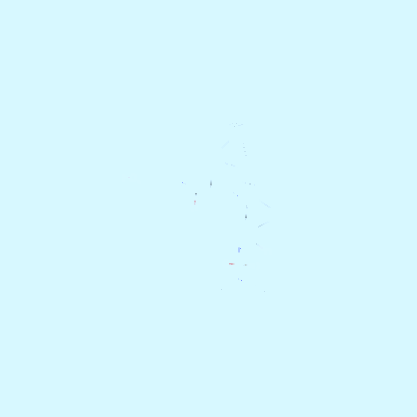 COc1ccc2c(c1)C=C(C(=O)N1CCCC(CO)C1)Cn1c-2c(C2CCCCC2)c2ccc(C(=O)NS(=O)(=O)N(C)C)cc21